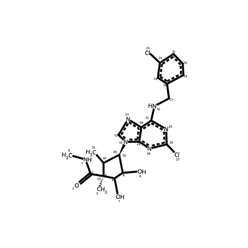 CNC(=O)[C@]1(C)C(O)C(O)[C@H](n2cnc3c(NCc4cccc(Cl)c4)nc(Cl)nc32)C1C